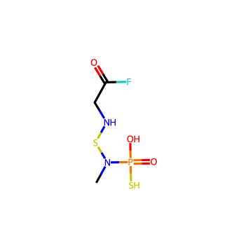 CN(SNCC(=O)F)P(=O)(O)S